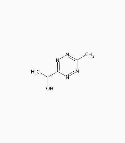 Cc1nnc(C(C)O)nn1